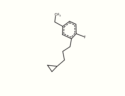 CCc1ccc(F)c(CCCC2CC2)c1